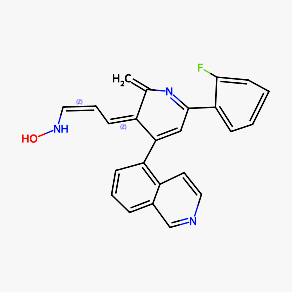 C=c1nc(-c2ccccc2F)cc(-c2cccc3cnccc23)/c1=C/C=C\NO